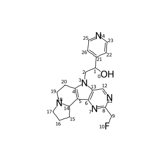 OC(Cn1c2c(c3nc(CF)ncc31)C1CCCN1CC2)c1ccncc1